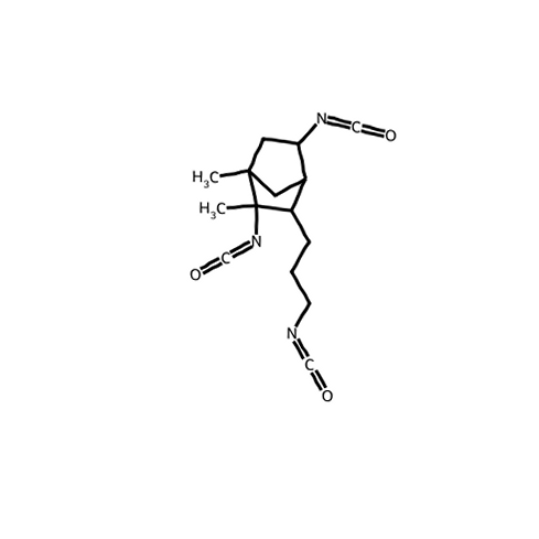 CC12CC(N=C=O)C(C1)C(CCCN=C=O)C2(C)N=C=O